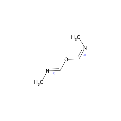 C/N=C\O/C=N/C